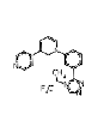 C[C@H](n1cnnc1-c1cccc(N2C=CC=C(c3ccncc3)C2)c1)C(F)(F)F